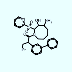 CC(C)CC(C(=O)N1CCCCC(N)C(O)C1S(=O)(=O)c1ccccn1)c1cccc(-c2ccccc2)c1